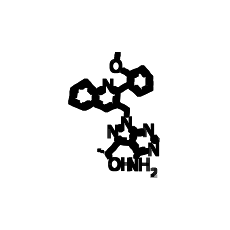 COc1ccccc1-c1nc2ccccc2cc1Cn1nc([C@@H](C)O)c2c(N)ncnc21